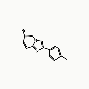 Cc1ccc(-c2cn3cc(Br)ccc3n2)cc1